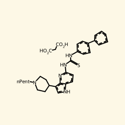 CCCCCN1CCC(c2c[nH]c3ccc(NC(=S)Nc4ccc(-c5ccccc5)cc4)nc23)CC1.O=C(O)CC(=O)O